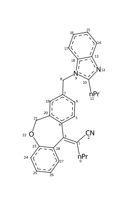 CCC/C(C#N)=C1/c2ccc(Cn3c(CCC)nc4ccccc43)cc2COc2ccccc21